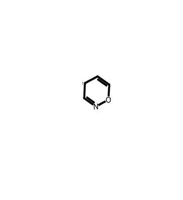 [C]1C=CON=C1